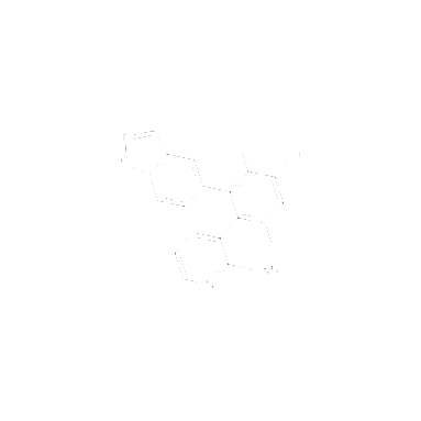 COc1ncccc1-c1c(O)cc(C(F)(F)F)c(O)c1-c1ccc2[nH]ncc2c1